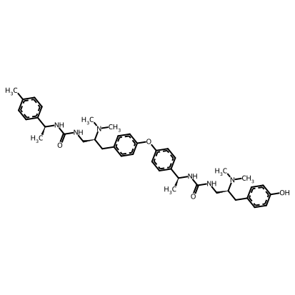 Cc1ccc([C@H](C)NC(=O)NC[C@H](Cc2ccc(Oc3ccc([C@H](C)NC(=O)NC[C@H](Cc4ccc(O)cc4)N(C)C)cc3)cc2)N(C)C)cc1